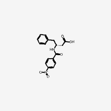 O=C(O)C[C@@H](Cc1ccccc1)NC(=O)c1ccc([N+](=O)[O-])cc1